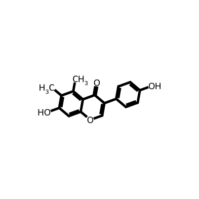 Cc1c(O)cc2occ(-c3ccc(O)cc3)c(=O)c2c1C